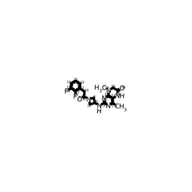 Cc1nc(NC2CN(C(=O)Cc3cccc(F)c3F)C2)nc2c1NC(=O)CN2C